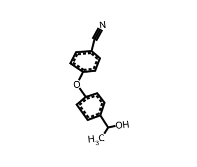 CC(O)c1ccc(Oc2ccc(C#N)cc2)cc1